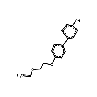 C=COCCOc1ccc(-c2ccc(O)cc2)cc1